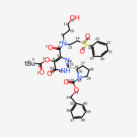 CC(C)(C)C(=O)Oc1c(C(=O)N(CCCO)CCS(=O)(=O)c2ccccc2)nc([C@@H]2CCCN2C(=O)OCc2ccccc2)[nH]c1=O